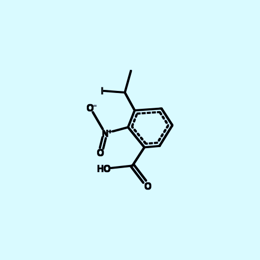 CC(I)c1cccc(C(=O)O)c1[N+](=O)[O-]